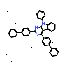 c1ccc(-c2ccc(-c3nc(-c4ccc(-c5ccccc5)cc4)c4c5ccccc5n(-c5ccccc5)c4n3)cc2)cc1